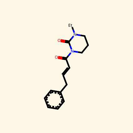 CCN1CCCN(C(=O)/C=C/Cc2ccccc2)C1=O